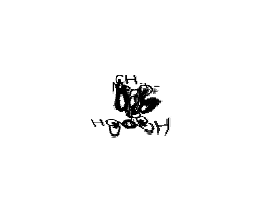 Cc1nc2ccc(N(CC[C@@H]3CN(C(=O)O)CCN3C(=O)O)S(=O)(=O)c3ccccc3[N+](=O)[O-])cc2s1